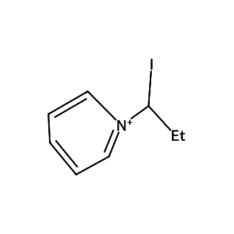 CCC(I)[n+]1ccccc1